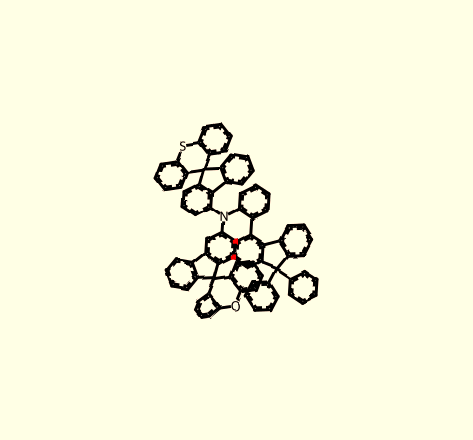 c1ccc(C2(c3ccccc3)c3ccccc3-c3c(-c4ccccc4N(c4ccc5c(c4)-c4ccccc4C54c5ccccc5Oc5ccccc54)c4cccc5c4-c4ccccc4C54c5ccccc5Sc5ccccc54)cccc32)cc1